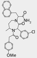 COc1ccc(CC(=O)N2C(C)CCN(C(Cc3cccc4ccccc34)C(N)=O)C(=O)C2c2cccc(Cl)c2)cc1